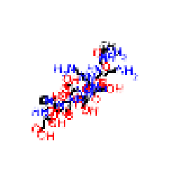 C[C@H](N)C(=O)NCC(=O)N[C@@H](CCCCN)C(=O)N[C@@H](CCCCN)C(=O)N[C@@H](CC(=O)O)C(=O)N[C@@H](CC(=O)O)C(=O)N[C@@H](CC(=O)O)C(=O)N[C@@H](CC(=O)O)C(=O)N1CCC[C@H]1C(=O)N1CCC[C@H]1C(=O)N[C@@H](CCC(=O)O)C(=O)O